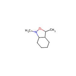 CC1ON(C)C2CCCCC12